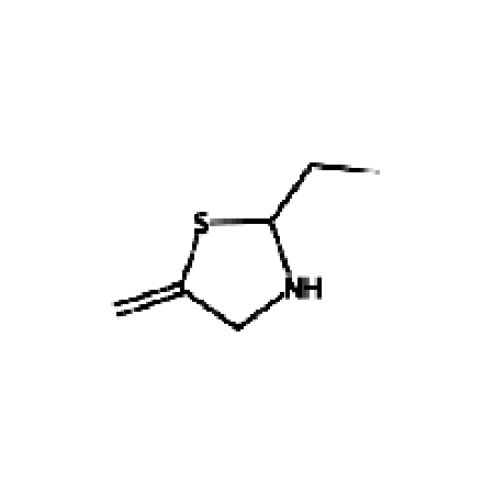 C=C1CNC(CC)S1